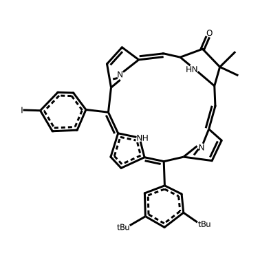 CC(C)(C)c1cc(/C2=c3\cc/c([nH]3)=C(\c3ccc(I)cc3)C3=N/C(=C\C4NC(/C=C5/C=CC2=N5)C(C)(C)C4=O)C=C3)cc(C(C)(C)C)c1